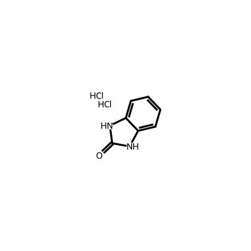 Cl.Cl.O=c1[nH]c2ccccc2[nH]1